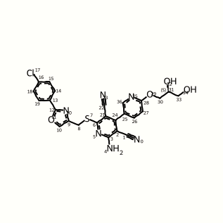 N#Cc1c(N)nc(SCc2coc(-c3ccc(Cl)cc3)n2)c(C#N)c1-c1ccc(OC[C@@H](O)CO)nc1